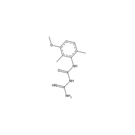 COc1ccc(C)c(NC(=O)NC(=N)N)c1C